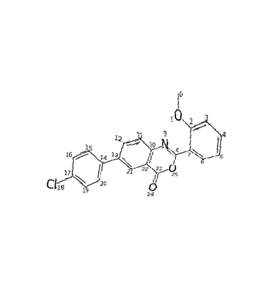 COc1ccccc1-c1nc2ccc(-c3ccc(Cl)cc3)cc2c(=O)o1